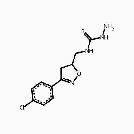 NNC(=S)NCC1CC(c2ccc(Cl)cc2)=NO1